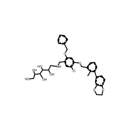 Cc1c(COc2cc(OCc3ccccc3)c(CNCC(O)C(O)C(O)C(O)CO)cc2Cl)cccc1-c1ccc2c(c1)OCCO2